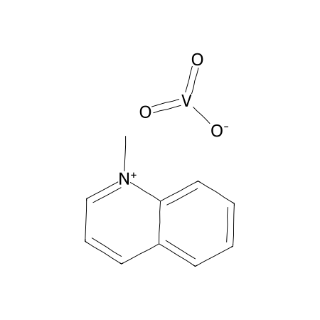 C[n+]1cccc2ccccc21.[O]=[V](=[O])[O-]